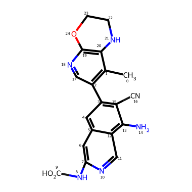 Cc1c(-c2cc3cc(NC(=O)O)ncc3c(N)c2C#N)cnc2c1NCCO2